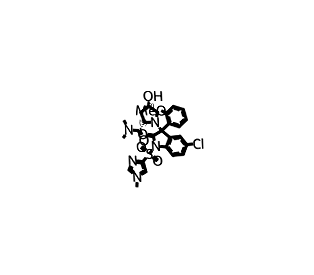 COc1ccccc1C1(N2C[C@H](O)C[C@H]2C(=O)N(C)C)C(=O)N(S(=O)(=O)c2cn(C)cn2)c2ccc(Cl)cc21